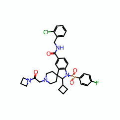 O=C(NCc1ccccc1Cl)c1ccc2c(c1)C1(CCN(CC(=O)N3CCC3)CC1)C(C1CCC1)N2S(=O)(=O)c1ccc(F)cc1